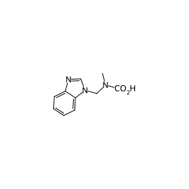 CN(Cn1cnc2ccccc21)C(=O)O